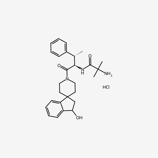 C[C@@H](c1ccccc1)[C@@H](NC(=O)C(C)(C)N)C(=O)N1CCC2(CC1)CC(O)c1ccccc12.Cl